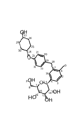 Cc1ccc([C@@H]2O[C@H](CO)[C@@H](O)[C@H](O)[C@H]2O)cc1Cc1ccc(OC2CCC(O)CC2)cc1